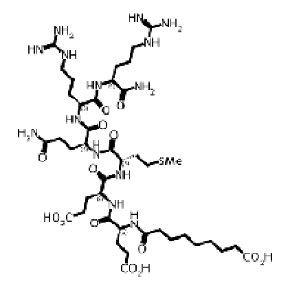 CSCC[C@H](NC(=O)[C@H](CCC(=O)O)NC(=O)[C@H](CCC(=O)O)NC(=O)CCCCCCCC(=O)O)C(=O)N[C@@H](CCC(N)=O)C(=O)N[C@@H](CCCNC(=N)N)C(=O)N[C@@H](CCCNC(=N)N)C(N)=O